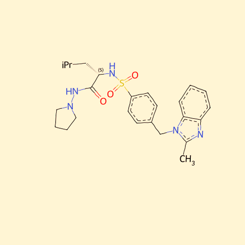 Cc1nc2ccccc2n1Cc1ccc(S(=O)(=O)N[C@@H](CC(C)C)C(=O)NN2CCCC2)cc1